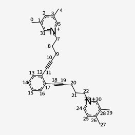 Cc1cc(C)c[n+](CCCC#Cc2ccccc2C#CCCC[n+]2ccc(C)c(C)c2)c1